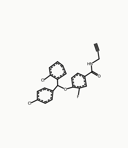 C#CCNC(=O)c1ccc(OC(c2ccc(Cl)cc2)c2ccccc2Cl)c(F)c1